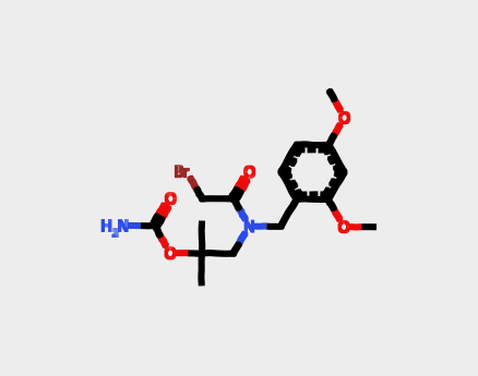 COc1ccc(CN(CC(C)(C)OC(N)=O)C(=O)CBr)c(OC)c1